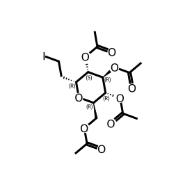 CC(=O)OC[C@H]1O[C@H](CCI)[C@H](OC(C)=O)[C@@H](OC(C)=O)[C@@H]1OC(C)=O